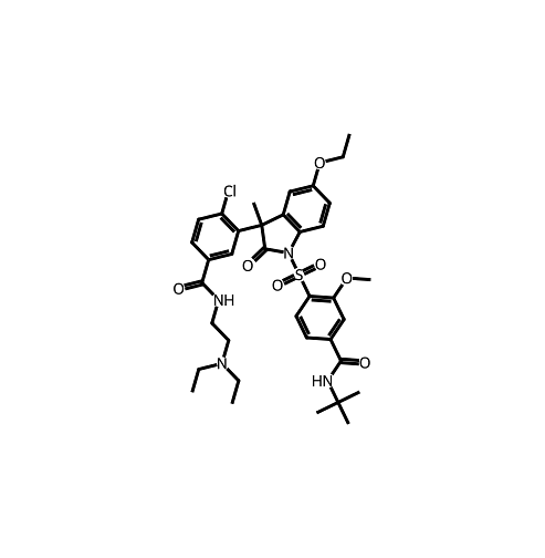 CCOc1ccc2c(c1)C(C)(c1cc(C(=O)NCCN(CC)CC)ccc1Cl)C(=O)N2S(=O)(=O)c1ccc(C(=O)NC(C)(C)C)cc1OC